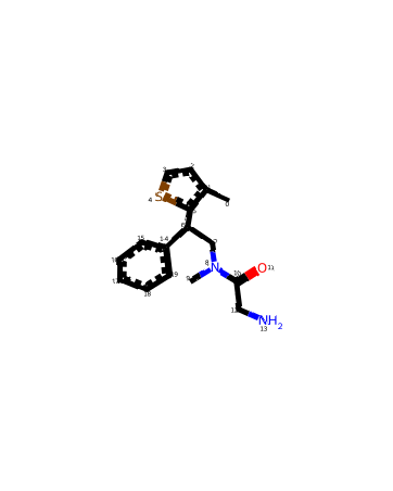 Cc1ccsc1C(CN(C)C(=O)CN)c1ccccc1